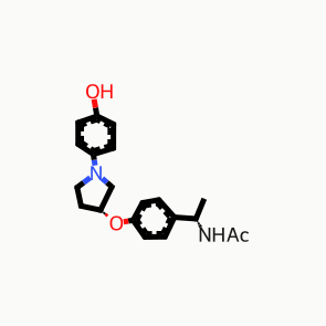 CC(=O)N[C@@H](C)c1ccc(O[C@@H]2CCN(c3ccc(O)cc3)C2)cc1